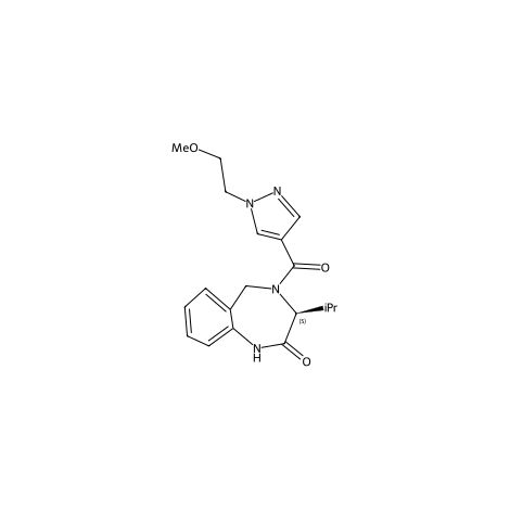 COCCn1cc(C(=O)N2Cc3ccccc3NC(=O)[C@@H]2C(C)C)cn1